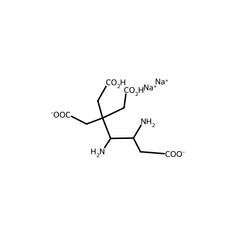 NC(CC(=O)[O-])C(N)C(CC(=O)[O-])(CC(=O)O)CC(=O)O.[Na+].[Na+]